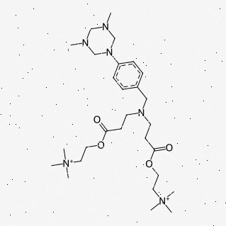 CN1CN(C)CN(c2ccc(CN(CCC(=O)OCC[N+](C)(C)C)CCC(=O)OCC[N+](C)(C)C)cc2)C1